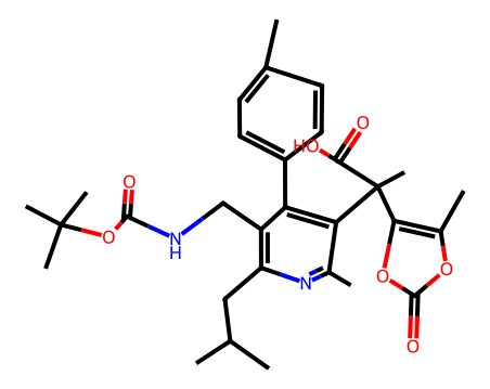 Cc1ccc(-c2c(CNC(=O)OC(C)(C)C)c(CC(C)C)nc(C)c2C(C)(C(=O)O)c2oc(=O)oc2C)cc1